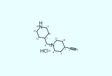 C#CC1CCN(CC2CCNCC2)CC1.Cl